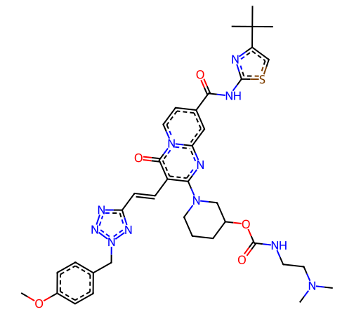 COc1ccc(Cn2nnc(C=Cc3c(N4CCCC(OC(=O)NCCN(C)C)C4)nc4cc(C(=O)Nc5nc(C(C)(C)C)cs5)ccn4c3=O)n2)cc1